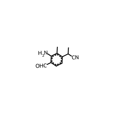 Cc1c(C(C)C#N)ccc(C=O)c1N